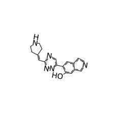 Oc1cc2cnccc2cc1-c1cnc(C=C2CCNCC2)nn1